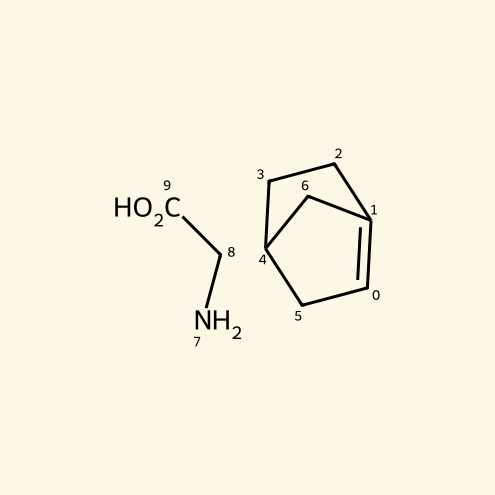 C1=C2CCC(C1)C2.NCC(=O)O